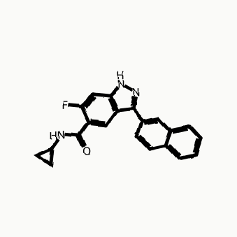 O=C(NC1CC1)c1cc2c(-c3ccc4ccccc4c3)n[nH]c2cc1F